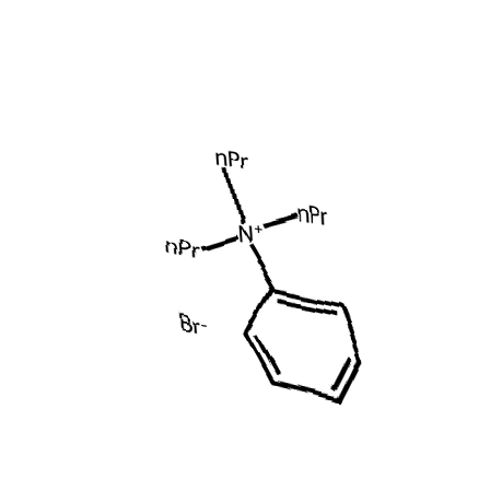 CCC[N+](CCC)(CCC)c1ccccc1.[Br-]